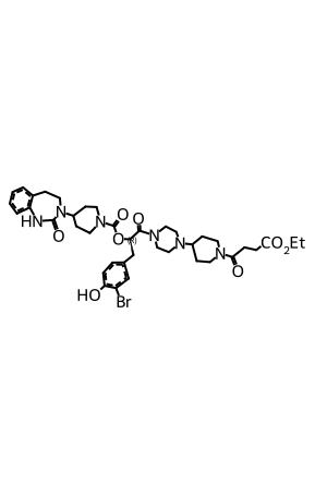 CCOC(=O)CCC(=O)N1CCC(N2CCN(C(=O)[C@@H](Cc3ccc(O)c(Br)c3)OC(=O)N3CCC(N4CCc5ccccc5NC4=O)CC3)CC2)CC1